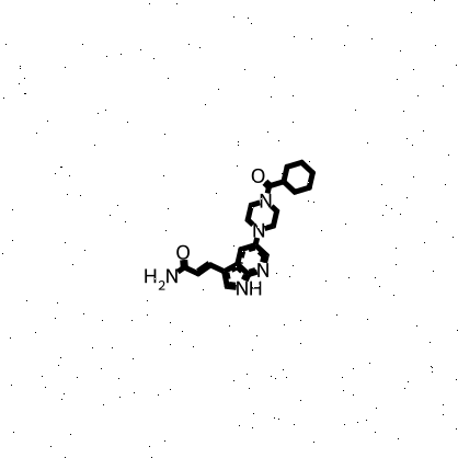 NC(=O)C=Cc1c[nH]c2ncc(N3CCN(C(=O)C4CCCCC4)CC3)cc12